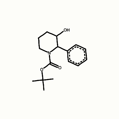 CC(C)(C)OC(=O)N1CCCC(O)C1c1ccccc1